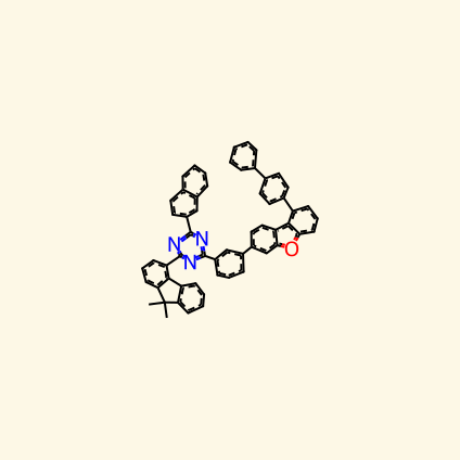 CC1(C)c2ccccc2-c2c(-c3nc(-c4cccc(-c5ccc6c(c5)oc5cccc(-c7ccc(-c8ccccc8)cc7)c56)c4)nc(-c4ccc5ccccc5c4)n3)cccc21